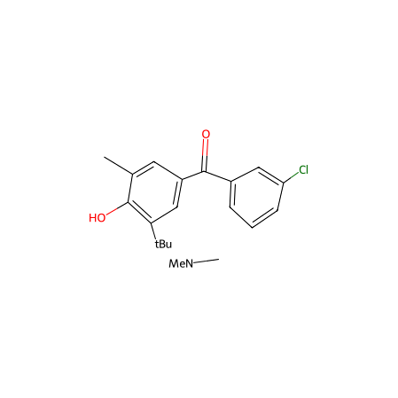 CNC.Cc1cc(C(=O)c2cccc(Cl)c2)cc(C(C)(C)C)c1O